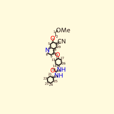 COCCOc1cc2nccc(Oc3ccc(NC(=O)Nc4ccccc4)cc3)c2cc1C#N